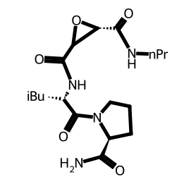 CCCNC(=O)[C@H]1OC1C(=O)N[C@H](C(=O)N1CCC[C@H]1C(N)=O)[C@@H](C)CC